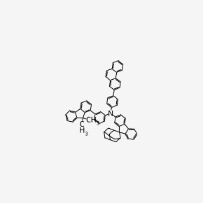 CC1(C)c2ccccc2-c2cccc(-c3cccc(N(c4ccc(-c5ccc6c(ccc7ccccc76)c5)cc4)c4ccc5c(c4)C4(c6ccccc6-5)C5CC6CC(C5)CC4C6)c3)c21